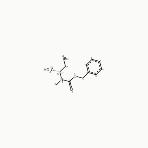 CN(C(=O)OCc1ccccc1)[C@@H](CC(C)(C)C)C(=O)O